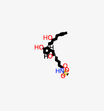 CC#CCC[C@H](O)C=C[C@@H]1[C@H]2C[C@H](CCCCC(=O)NS(C)(=O)=O)O[C@H]2C[C@H]1O